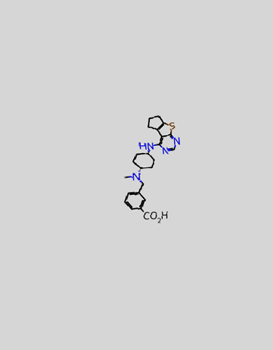 CN(Cc1cccc(C(=O)O)c1)[C@H]1CC[C@H](Nc2ncnc3sc4c(c23)CCC4)CC1